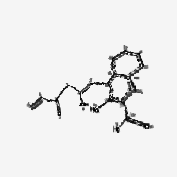 C=CC(=O)CC(O)=Cc1c(O)c(C(=O)O)cc2ccccc12